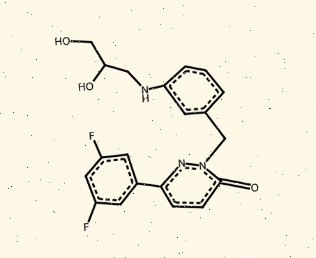 O=c1ccc(-c2cc(F)cc(F)c2)nn1Cc1cccc(NCC(O)CO)c1